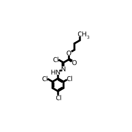 CCCCOC(=O)C(Cl)=NNc1c(Cl)cc(Cl)cc1Cl